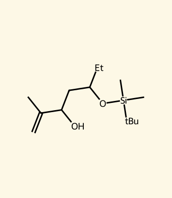 C=C(C)C(O)CC(CC)O[Si](C)(C)C(C)(C)C